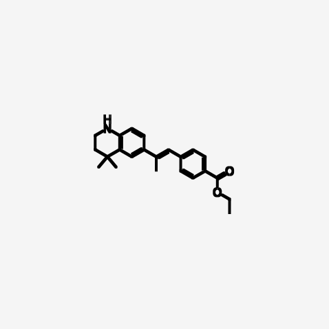 CCOC(=O)c1ccc(/C=C(\C)c2ccc3c(c2)C(C)(C)CCN3)cc1